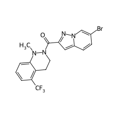 CN1c2cccc(C(F)(F)F)c2CCN1C(=O)c1cc2ccc(Br)cn2n1